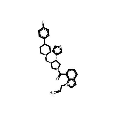 C=CCn1ccc2cccc(C(=O)N3C[C@@H](CN4CCC(c5ccc(F)cc5)CC4)[C@H](c4ccsc4)C3)c21